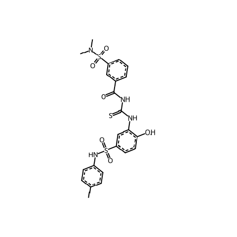 Cc1ccc(NS(=O)(=O)c2ccc(O)c(NC(=S)NC(=O)c3cccc(S(=O)(=O)N(C)C)c3)c2)cc1